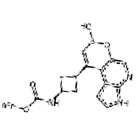 CCCOC(=O)N[C@H]1C[C@@H](C2=CB(O)Oc3cnc4[nH]ccc4c32)C1